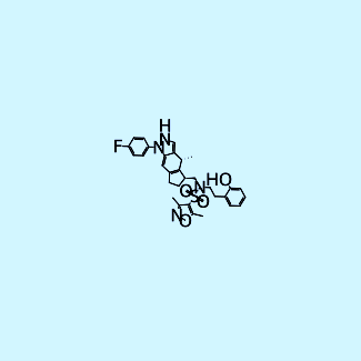 Cc1noc(C)c1S(=O)(=O)N(CCc1ccccc1O)C[C@H]1CCC2=C1[C@@H](C)C1=CNN(c3ccc(F)cc3)C1=C2